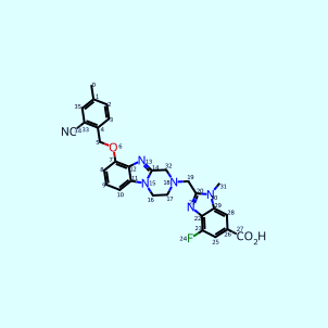 Cc1ccc(COc2cccc3c2nc2n3CCN(Cc3nc4c(F)cc(C(=O)O)cc4n3C)C2)c(C#N)c1